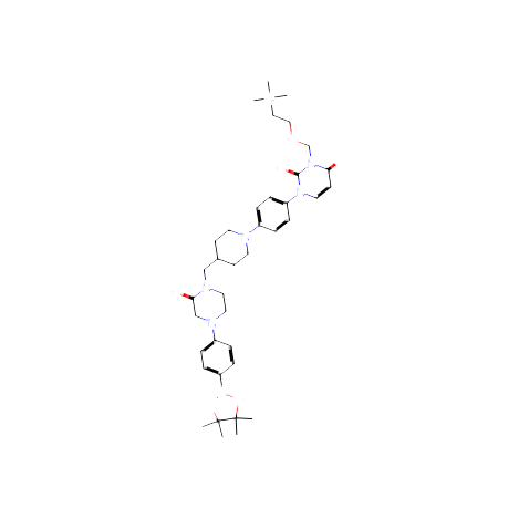 CC1(C)OB(c2ccc(N3CCN(CC4CCN(c5ccc(-n6ccc(=O)n(COCC[Si](C)(C)C)c6=O)cc5)CC4)C(=O)C3)cc2)OC1(C)C